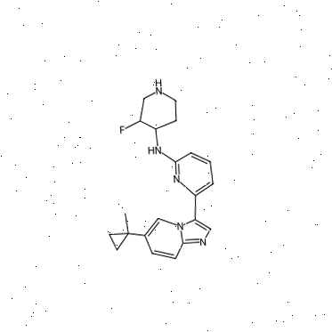 CC1(c2ccc3ncc(-c4cccc(NC5CCNCC5F)n4)n3c2)CC1